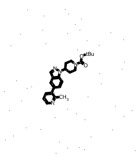 Cc1ncccc1-c1ccc2c(cnn2C2CCN(C(=O)OC(C)(C)C)CC2)c1